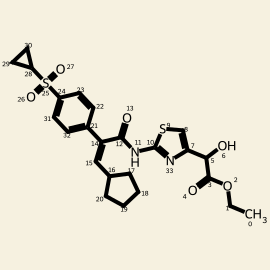 CCOC(=O)C(O)c1csc(NC(=O)C(=CC2CCCC2)c2ccc(S(=O)(=O)C3CC3)cc2)n1